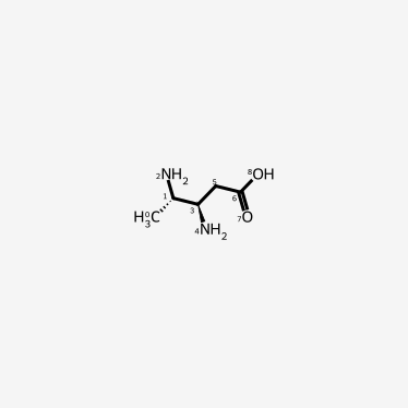 C[C@H](N)[C@H](N)CC(=O)O